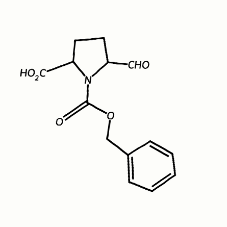 O=CC1CCC(C(=O)O)N1C(=O)OCc1ccccc1